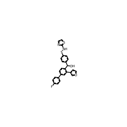 OC(c1ccc(SNc2nccs2)cc1)c1ccc(-c2ccc(F)cc2)cc1-c1ccoc1